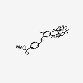 COC(=O)c1ccc(/C=C/c2cc3c(cc2C)C(C)(C)[C@@H]2OC(C)(C)O[C@@H]2C3(C)C)cc1